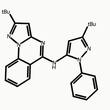 CC(C)(C)c1cc(Nc2nc3cc(C(C)(C)C)nn3c3ccccc23)n(-c2ccccc2)n1